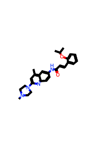 Cc1cc(N2CCN(C)CC2)nc2ccc(NC(=O)/C=C/c3ccccc3OC(C)C)cc12